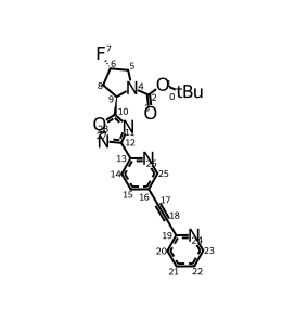 CC(C)(C)OC(=O)N1C[C@@H](F)C[C@@H]1c1nc(-c2ccc(C#Cc3ccccn3)cn2)no1